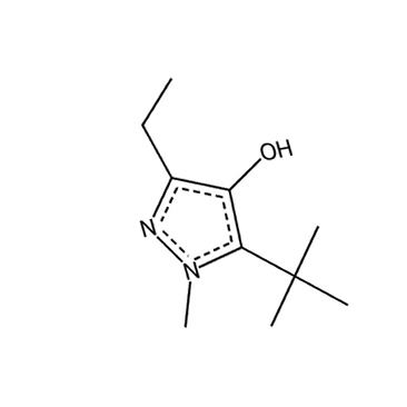 CCc1nn(C)c(C(C)(C)C)c1O